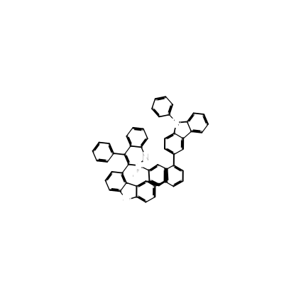 O=S1(c2ccccc2)=Nc2ccccc2C(c2ccccc2)=C1c1cccc2oc3ccc(-c4cccc(-c5ccc6c(c5)c5ccccc5n6-c5ccccc5)c4)cc3c12